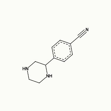 N#Cc1ccc(C2CNCCN2)cc1